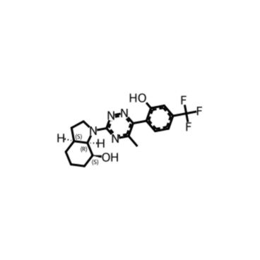 Cc1nc(N2CC[C@@H]3CCC[C@H](O)[C@@H]32)nnc1-c1ccc(C(F)(F)F)cc1O